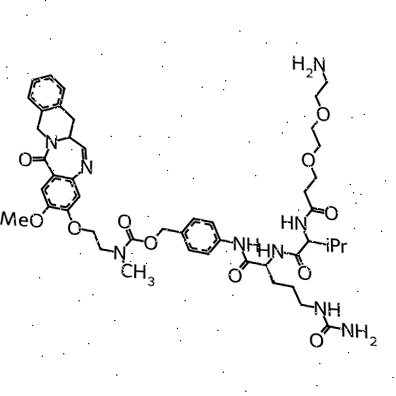 COc1cc2c(cc1OCCN(C)C(=O)OCc1ccc(NC(=O)[C@H](CCCNC(N)=O)NC(=O)C(NC(=O)CCOCCOCCN)C(C)C)cc1)N=CC1Cc3ccccc3CN1C2=O